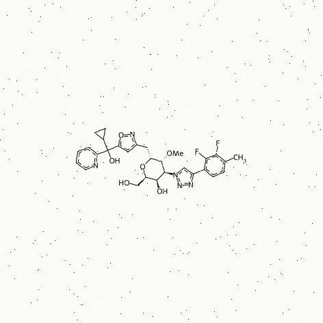 CO[C@@H]1[C@@H](n2cc(-c3ccc(C)c(F)c3F)nn2)[C@@H](O)[C@@H](CO)O[C@@H]1Cc1cc(C(O)(c2ccccn2)C2CC2)on1